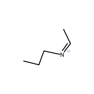 C/C=N\CCC